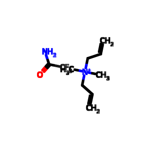 C=CC[N+](C)(C)CC=C.NC(=O)C(F)(F)F